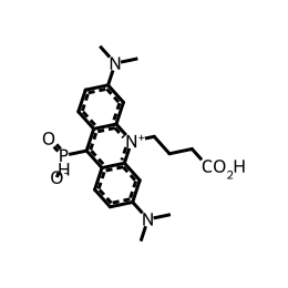 CN(C)c1ccc2c([PH](=O)[O-])c3ccc(N(C)C)cc3[n+](CCCC(=O)O)c2c1